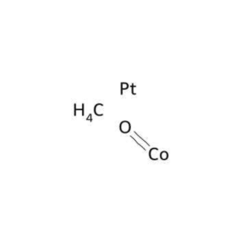 C.[O]=[Co].[Pt]